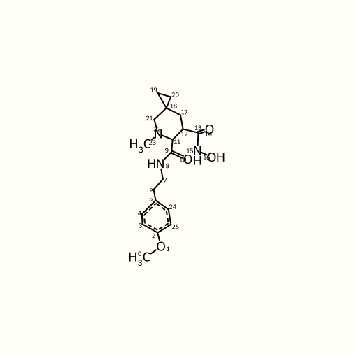 COc1ccc(CCNC(=O)C2C(C(=O)NO)CC3(CC3)CN2C)cc1